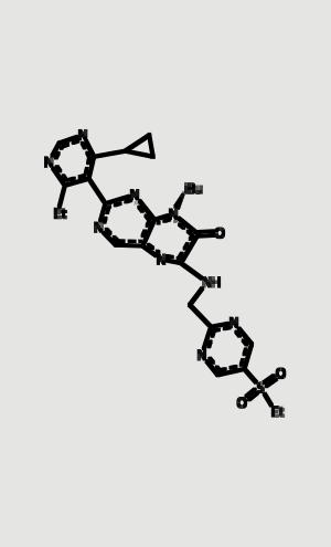 CCc1ncnc(C2CC2)c1-c1ncc2nc(NCc3ncc(S(=O)(=O)CC)cn3)c(=O)n([C@H](C)CC)c2n1